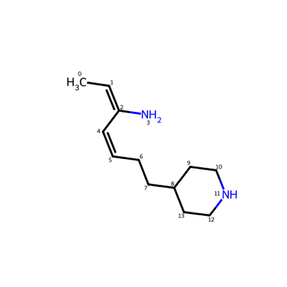 C/C=C(N)\C=C/CCC1CCNCC1